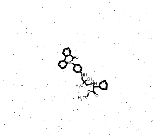 CCOC(=O)C(NCC(C)(C)CNc1ccc(NC(=O)c2ccccc2-c2ccccc2)cc1)c1ccccc1